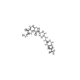 CN1Cc2c(C(=O)N[C@H]3CC[C@H](CCN4CCc5sc(C6(F)CC6)nc5C4)CC3)cccc2C1=O